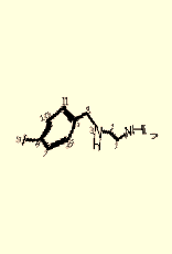 NCCNCc1ccc(I)cc1